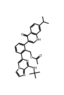 CC(=O)OCc1c(-c2cn3ccnc3c(NC(C)(C)C)n2)cccc1-c1c[nH]c2cc(C(C)C)ccc2c1=O